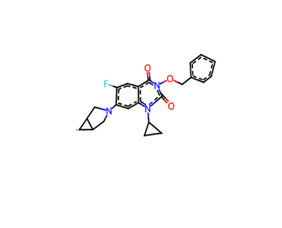 O=c1c2cc(F)c(N3CC4[CH]C4C3)cc2n(C2CC2)c(=O)n1OCc1ccccc1